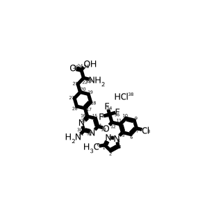 Cc1ccn(-c2cc(Cl)ccc2C(Oc2cc(C3=CCC(CC(N)C(=O)O)CC3)nc(N)n2)C(F)(F)F)n1.Cl